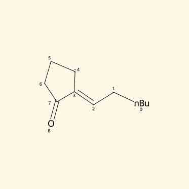 CCCCC/C=C1\[CH]CCC1=O